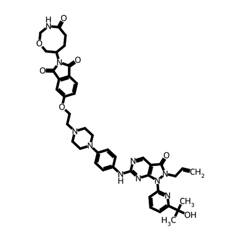 C=CCn1c(=O)c2cnc(Nc3ccc(N4CCN(CCOc5ccc6c(c5)C(=O)N(C5CCC(=O)NCOC5)C6=O)CC4)cc3)nc2n1-c1cccc(C(C)(C)O)n1